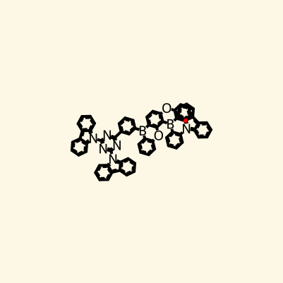 c1cc(B2c3ccccc3Oc3c2ccc2c3B(c3ccccc3-n3c4ccccc4c4ccccc43)c3ccccc3O2)cc(-c2nc(-n3c4ccccc4c4ccccc43)nc(-n3c4ccccc4c4ccccc43)n2)c1